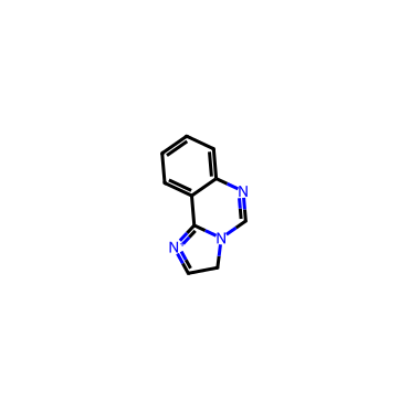 C1=Nc2ccccc2C2=[N+]=CCN12